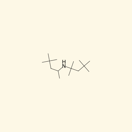 CC(CC(C)(C)C)NC(C)(C)CC(C)(C)C